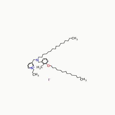 CCCCCCCCCCCCCCCCN(Cc1ccc[n+](CCC)c1)Cc1cccc(OCCCCCCCCCCCCCC)c1C.[I-]